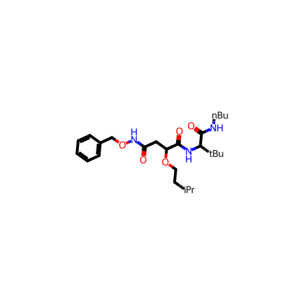 CCCCNC(=O)C(NC(=O)C(CC(=O)NOCc1ccccc1)OCCC(C)C)C(C)(C)C